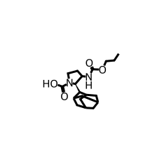 CCCOC(=O)NC1CCN(C(=O)O)[C@@H]1C1C2CC3CC(C2)CC1C3